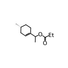 CCC(=O)OC(C)C1=CC[C@H](C)CC1